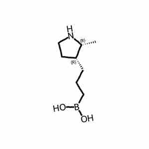 C[C@H]1NCC[C@H]1CCCB(O)O